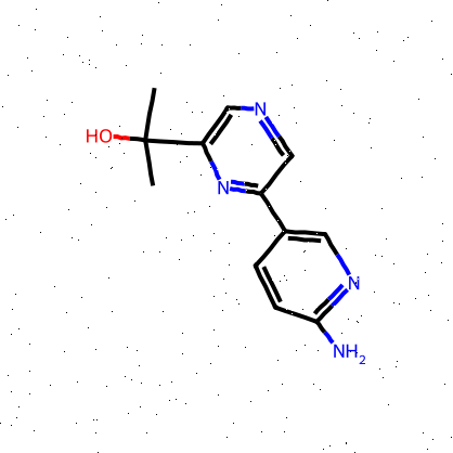 CC(C)(O)c1cncc(-c2ccc(N)nc2)n1